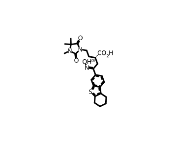 CN1C(=O)N(CC[C@@H](CC(=NO)c2ccc3c4c(sc3c2)CCCC4)C(=O)O)C(=O)C1(C)C